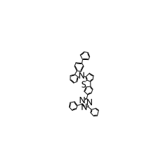 c1ccc(-c2ccc3c4ccccc4n(-c4cccc5c4sc4cc(-c6nc(-c7ccccc7)nc(-c7ccccc7)n6)ccc45)c3c2)cc1